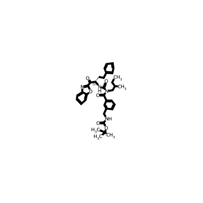 CCC(C)CN(C(=O)N[C@@H](CCc1ccccc1)C(=O)c1nc2ccccc2o1)C(=O)c1cccc(CNC(=O)OC(C)(C)C)c1